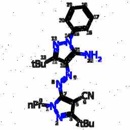 CCCn1nc(C(C)(C)C)c(C#N)c1/N=N/c1c(C(C)(C)C)nn(-c2ccccc2)c1N